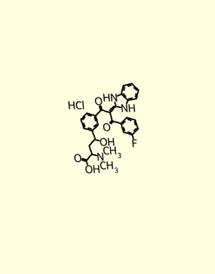 CN(C)C(CC(O)c1cccc(C(=O)C(C(=O)c2cccc(F)c2)=C2Nc3ccccc3N2)c1)C(=O)O.Cl